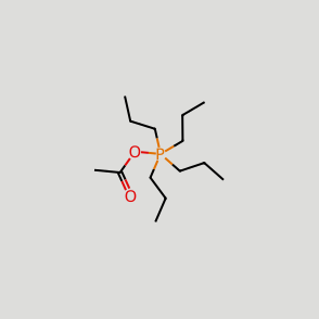 CCCP(CCC)(CCC)(CCC)OC(C)=O